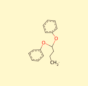 [CH2]CCC(Oc1ccccc1)Oc1ccccc1